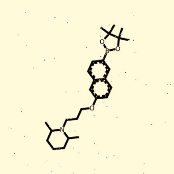 CC1CCCC(C)N1CCCOc1ccc2cc(B3OC(C)(C)C(C)(C)O3)ccc2c1